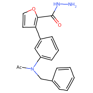 CC(=O)N(Cc1ccccc1)c1cccc(-c2ccoc2C(=O)NN)c1